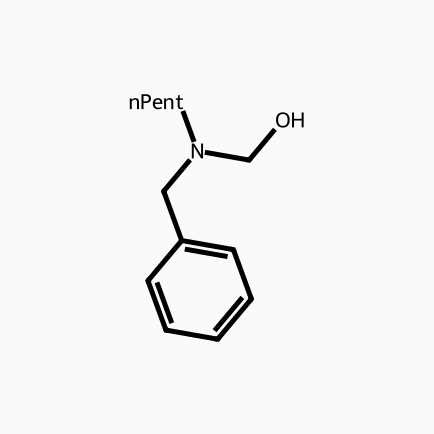 CCCCCN(CO)Cc1ccccc1